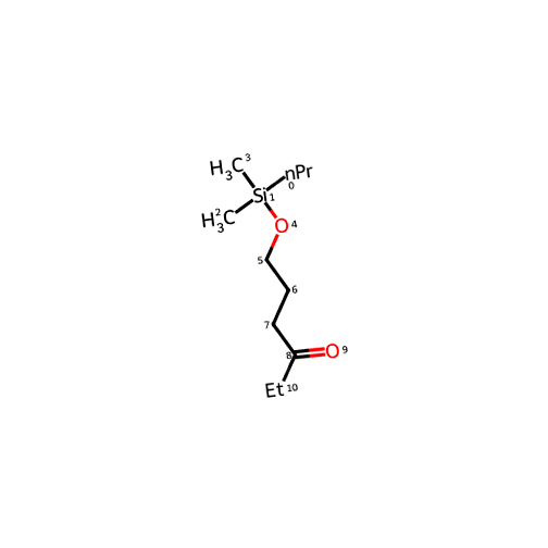 [CH2]CC[Si](C)(C)OCCCC(=O)CC